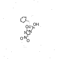 O=[N+]([O-])c1cn2c(n1)O[C@H](Cc1ccccc1)[C@H](O)C2